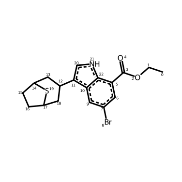 CCOC(=O)c1cc(Br)cc2c(C3CC4CCC(C3)S4)c[nH]c12